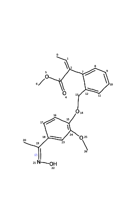 CC=C(C(=O)OC)c1ccccc1COc1ccc(/C(C)=N\O)cc1OC